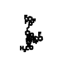 CC(=O)N1CC2CC(c3ccc(CCCOc4c(F)ccc(F)c4F)cc3)=C(C(=O)N(Cc3c(F)cccc3F)C3CC3)[C@@H](C1)N2